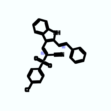 N#C/C(=C\c1c(/C=C/c2ccccc2)[nH]c2ccccc12)S(=O)(=O)c1ccc(Cl)cc1